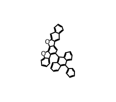 c1ccc(-c2c3ccccc3c(-c3cc4c5cc6ccccc6cc5oc4c4oc5ccccc5c34)c3ccccc23)cc1